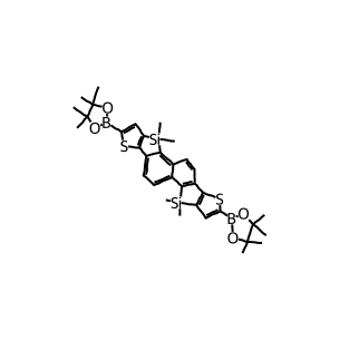 CC1(C)OB(c2cc3c(s2)-c2ccc4c5c(ccc4c2[Si]3(C)C)-c2sc(B3OC(C)(C)C(C)(C)O3)cc2[Si]5(C)C)OC1(C)C